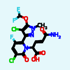 Cn1nc(-c2c(F)cc(Cl)c(=O)n2C(C=CC(N)=O)C(=O)O)c(Cl)c1OC(F)F